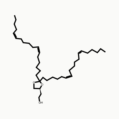 CCCC/C=C\CCCC/C=C\CCCCCC1(CCCCC/C=C\CCCC/C=C\CCCCC)OC[C@H](CCO)O1